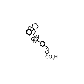 O=C(O)C1CN(Cc2ccc(-c3noc(CCC4(c5ccccc5)CCCCC4=O)n3)cc2)C1